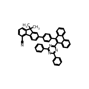 CC1(C)c2cc(-c3ccc(-c4c(-c5nc(-c6ccccc6)nc(-c6ccccc6)n5)c5ccccc5c5ccccc45)cc3)ccc2-c2c(C#N)cccc21